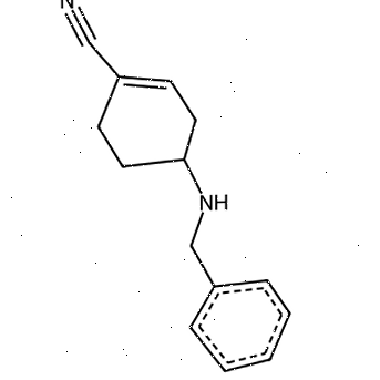 N#CC1=CCC(NCc2ccccc2)CC1